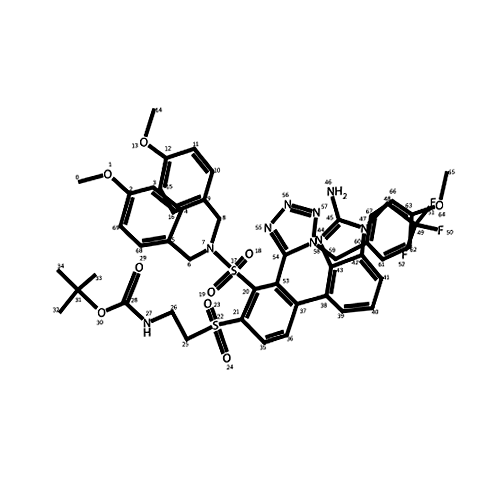 COc1ccc(CN(Cc2ccc(OC)cc2)S(=O)(=O)c2c(S(=O)(=O)CCNC(=O)OC(C)(C)C)ccc(-c3cccc4c3nc(N)n4CC(F)(F)F)c2-c2nnnn2Cc2ccc(OC)cc2)cc1